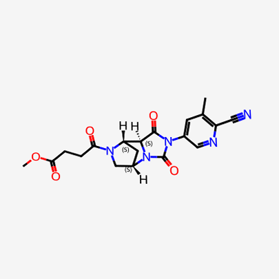 COC(=O)CCC(=O)N1C[C@@H]2C[C@H]1[C@H]1C(=O)N(c3cnc(C#N)c(C)c3)C(=O)N21